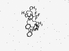 CCCc1c(C(F)(F)F)n(CC(C)C)c(=O)n1Cc1ccc(-c2ccccc2)c(-c2nnn[nH]2)c1